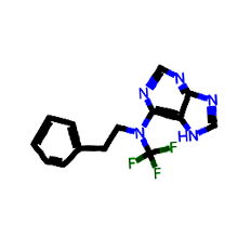 FC(F)(F)N(CCc1ccccc1)c1ncnc2nc[nH]c12